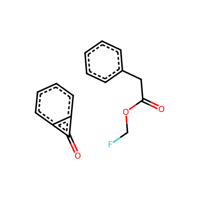 O=C(Cc1ccccc1)OCF.O=c1c2ccccc12